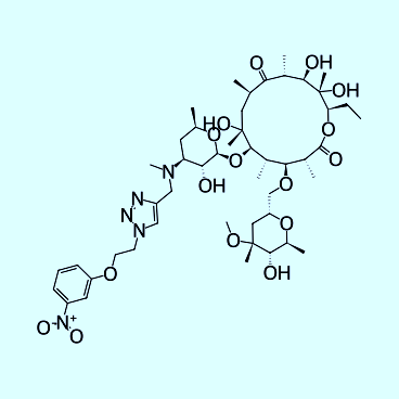 CC[C@H]1OC(=O)[C@H](C)[C@@H](OC[C@H]2C[C@@](C)(OC)[C@@H](O)[C@H](C)O2)[C@H](C)[C@@H](O[C@@H]2O[C@H](C)C[C@H](N(C)Cc3cn(CCOc4cccc([N+](=O)[O-])c4)nn3)[C@H]2O)[C@](C)(O)C[C@@H](C)C(=O)[C@H](C)[C@@H](O)[C@]1(C)O